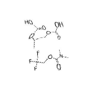 CC(COC(=O)O)OC(=O)O.CN(C)C(=O)OCC(F)(F)F